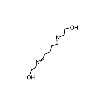 OCC/N=C/CCC/C=N/CCO